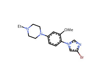 CCN1CCN(c2ccc(-n3cnc(Br)c3)c(OC)c2)CC1